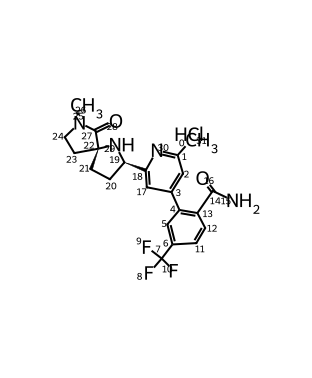 Cc1cc(-c2cc(C(F)(F)F)ccc2C(N)=O)cc([C@H]2CC[C@]3(CCN(C)C3=O)N2)n1.Cl